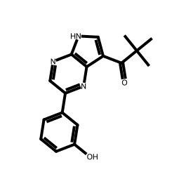 CC(C)(C)C(=O)c1c[nH]c2ncc(-c3cccc(O)c3)nc12